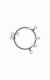 O=C1CCCCCCCCCOC(=O)CNCN1.O=CO